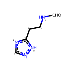 O=CNCCc1ncn[nH]1